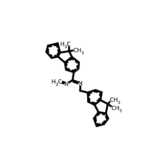 C=N/C(=N\Cc1ccc2c(c1)-c1ccccc1C2(C)C)c1ccc2c(c1)-c1ccccc1C2(C)C